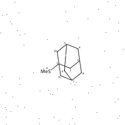 [CH2]SC12CC3CC(CC(C3)C1)C2